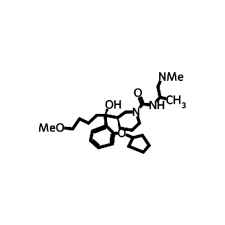 CNCC(C)NC(=O)N1CCC[C@@H]([C@@](O)(CCCCOC)c2ccccc2OC2CCCC2)C1